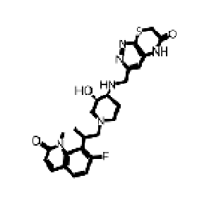 CC(CN1CC[C@H](NCc2cc3c(nn2)SCC(=O)N3)[C@H](O)C1)c1c(F)ccc2ccc(=O)n(C)c12